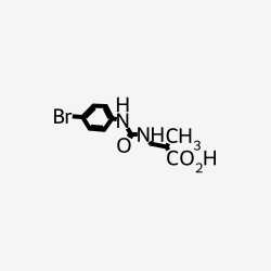 CC(CNC(=O)Nc1ccc(Br)cc1)C(=O)O